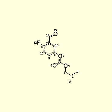 CC(C)COC(=O)Oc1ccc(F)c(C=O)c1